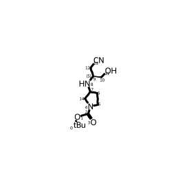 CC(C)(C)OC(=O)N1CCC(N[C@H](CO)CC#N)C1